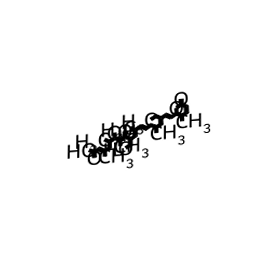 CCC(C=CC1OC(=O)C=CC1C)=CC(C)CC=CC(C)=CC(CO)C(=O)C(C)C(O)C(C)CC(C)=CC(=O)O